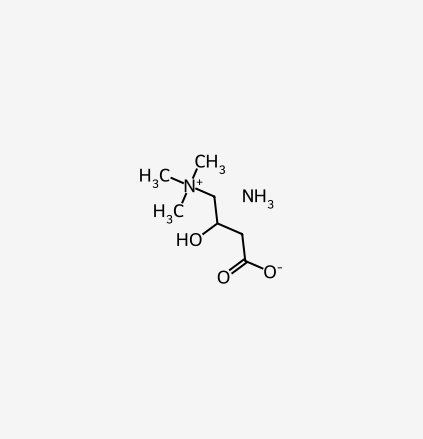 C[N+](C)(C)CC(O)CC(=O)[O-].N